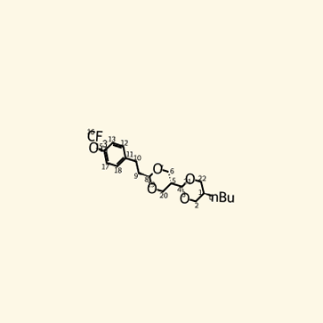 CCCC[C@H]1CO[C@H]([C@H]2CO[C@H](CCc3ccc(OC(F)(F)F)cc3)OC2)OC1